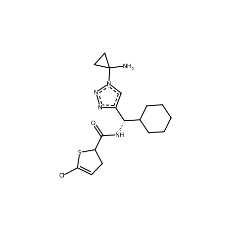 NC1(n2cc([C@@H](NC(=O)C3CC=C(Cl)S3)C3CCCCC3)nn2)CC1